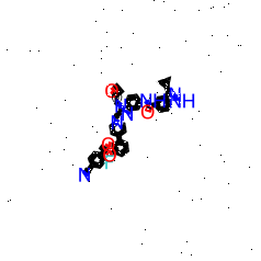 CC1(c2ccc(C#N)cc2F)Oc2cccc(C3CCN(Cc4nc5cc(NC(=O)c6ccc7[nH]nc(C8CC8)c7c6)ccc5n4C[C@@H]4CCO4)CC3)c2O1